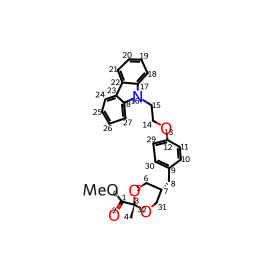 COC(=O)[C@]1(C)OC[C@H](Cc2ccc(OCCn3c4ccccc4c4ccccc43)cc2)CO1